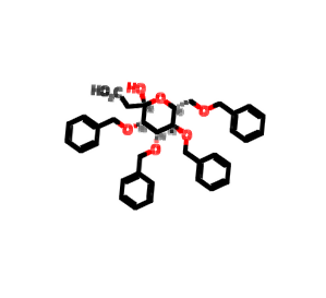 O=C(O)C[C@]1(O)O[C@H](COCc2ccccc2)[C@@H](OCc2ccccc2)[C@H](OCc2ccccc2)[C@@H]1OCc1ccccc1